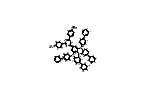 CC(C)(C)c1ccc(-c2nc(-c3ccc(C(C)(C)C)cc3)nc(-c3cc4c5c(c3)N(c3ccc(-c6ccccc6)cc3)c3ccc(-c6ccccc6)cc3B5c3cc(-c5ccccc5)ccc3N4c3ccc(-c4ccccc4)cc3)n2)cc1